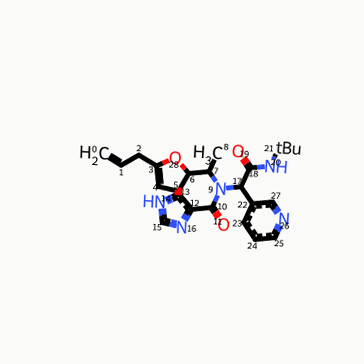 C=CCC1=CCC(C(C)N(C(=O)c2c[nH]cn2)C(C(=O)NC(C)(C)C)c2cccnc2)O1